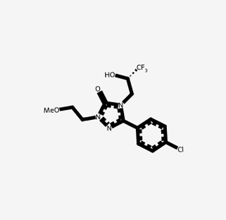 COCCn1nc(-c2ccc(Cl)cc2)n(C[C@H](O)C(F)(F)F)c1=O